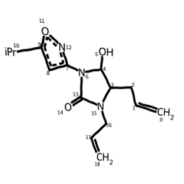 C=CCC1C(O)N(c2cc(C(C)C)on2)C(=O)N1CC=C